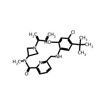 C=CC(=C)N1CC(N(C)C(=O)c2cccc(CNc3cc(C(C)(C)C)c(Cl)cc3O)n2)C1